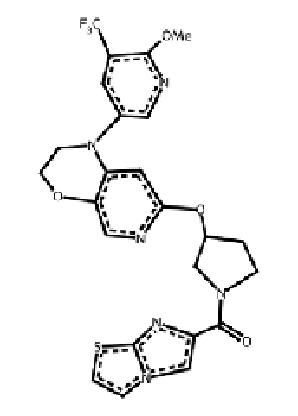 COc1ncc(N2CCOc3cnc(OC4CCN(C(=O)c5cn6ccsc6n5)C4)cc32)cc1C(F)(F)F